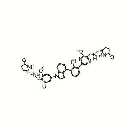 COc1cc(-n2ccc3c(-c4cccc(-c5cnc(CNC[C@@H]6CCC(=O)N6)c(OC)n5)c4Cl)cccc32)cc(OC)c1CNC[C@@H]1CCC(=O)N1